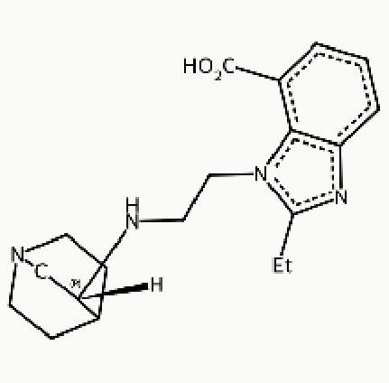 CCc1nc2cccc(C(=O)O)c2n1CCN[C@H]1CN2CCC1CC2